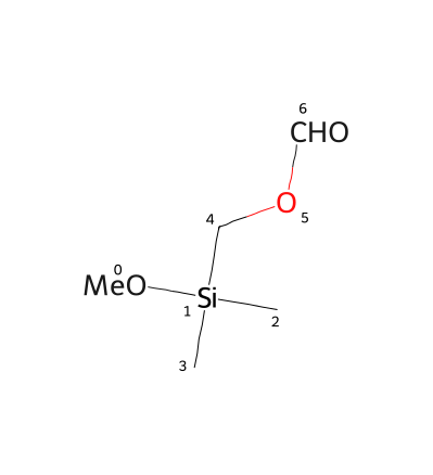 CO[Si](C)(C)COC=O